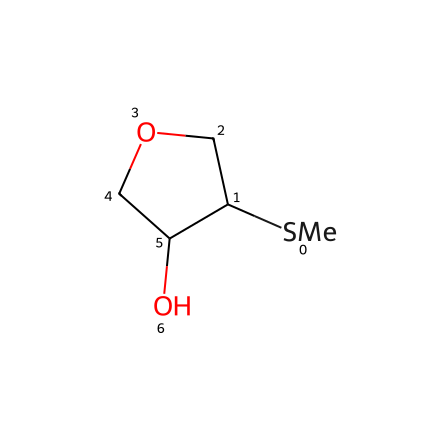 CSC1COCC1O